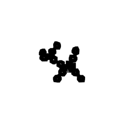 C1=CC2C(C=C1C1C=c3c(n(-c4nc(-c5ccc(-c6ccccc6)cc5)nc(-c5ccc(-c6ccccc6)cc5)n4)c4ccc(-c5ccccc5)cc34)=CC1)c1cc(-c3ccccc3)ccc1N2c1cccc2ccccc12